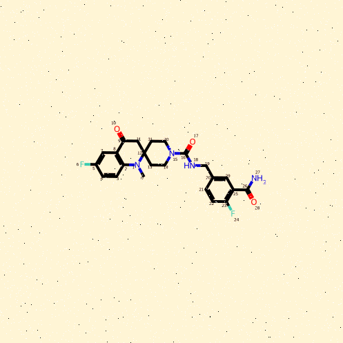 CN1c2ccc(F)cc2C(=O)CC12CCN(C(=O)NCc1ccc(F)c(C(N)=O)c1)CC2